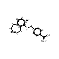 CCCC(=O)c1ccc(CSc2c(Cl)ccc3c2CCNCC3)cc1